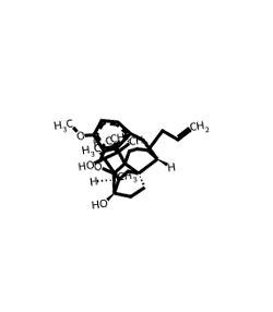 C=CCC1CCC23c4c5ccc(OC)c4O[C@]2(C)[C@@]2(O)CC[C@@]3(C[C@@H]2[C@](C)(O)C(C)(C)C)[C@H]1C5